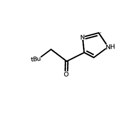 CC(C)(C)CC(=O)c1c[nH][c]n1